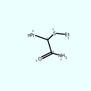 CCCC(SCC)C(N)=O